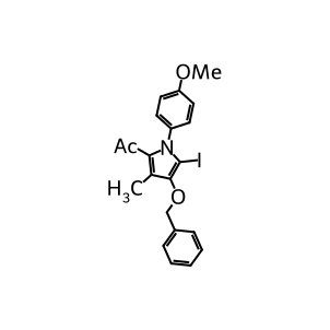 COc1ccc(-n2c(I)c(OCc3ccccc3)c(C)c2C(C)=O)cc1